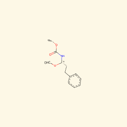 CC(C)(C)OC(=O)N[C@H](CCc1ccccc1)OC=O